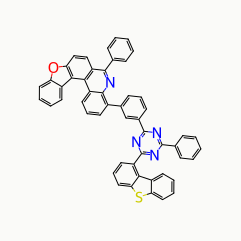 c1ccc(-c2nc(-c3cccc(-c4cccc5c4nc(-c4ccccc4)c4ccc6oc7ccccc7c6c45)c3)nc(-c3cccc4sc5ccccc5c34)n2)cc1